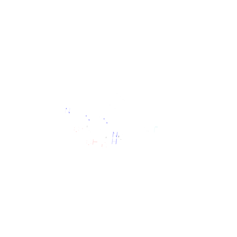 O=C(NCc1ccc(F)cc1)c1nc(Cc2ccccc2)n(CCN2CCCCC2)c(=O)c1O